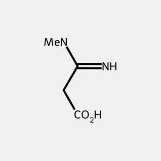 CNC(=N)CC(=O)O